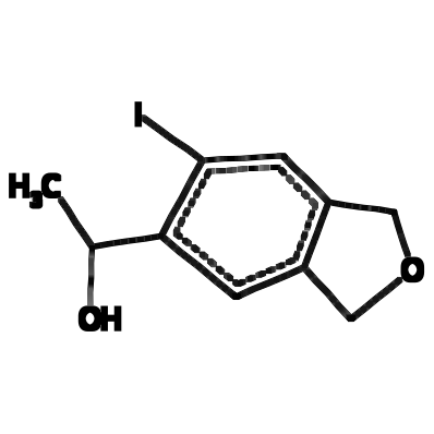 CC(O)c1cc2c(cc1I)COC2